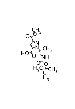 COC(=O)c1cc(C(=O)O)n([C@H](C)CNC(=O)OC(C)(C)C)n1